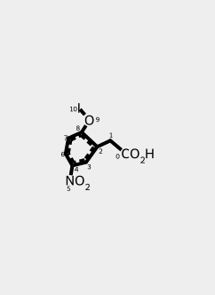 O=C(O)Cc1cc([N+](=O)[O-])ccc1OI